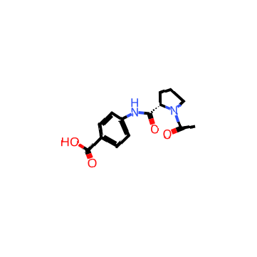 CC(=O)N1CCC[C@H]1C(=O)Nc1ccc(C(=O)O)cc1